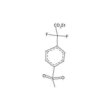 CCOC(=O)C(F)(F)c1ccc(S(C)(=O)=O)cc1